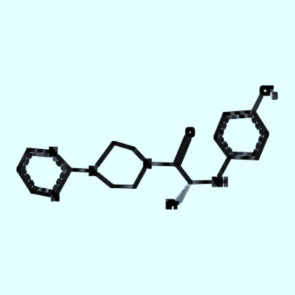 CC(C)[C@@H](Nc1ccc(C(F)(F)F)cc1)C(=O)N1CCN(c2ncccn2)CC1